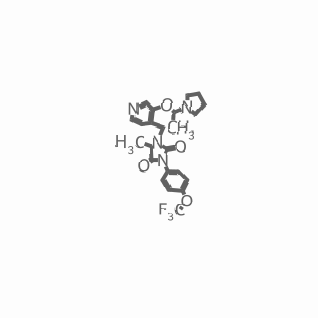 CC(Oc1cnccc1CN1C(=O)N(c2ccc(OC(F)(F)F)cc2)C(=O)C1C)N1CCCC1